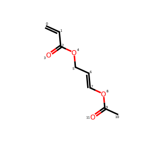 C=CC(=O)OCC=COC(C)=O